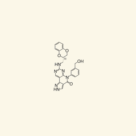 O=c1c2c[nH]nc2c2cnc(NC[C@H]3COc4ccccc4O3)nc2n1-c1cccc(CO)c1